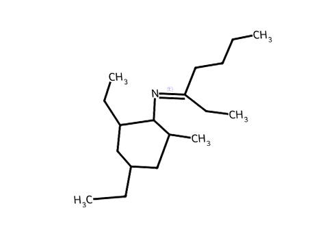 CCCC/C(CC)=N/C1C(C)CC(CC)CC1CC